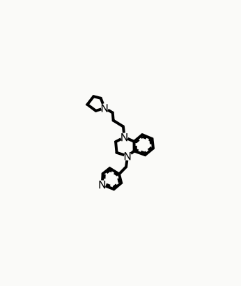 c1ccc2c(c1)N(CCCN1CCCC1)CCN2Cc1ccncc1